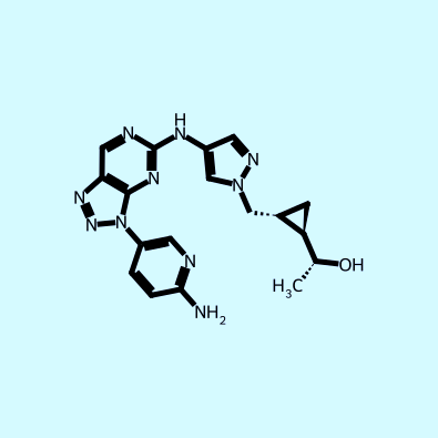 C[C@@H](O)[C@@H]1C[C@H]1Cn1cc(Nc2ncc3nnn(-c4ccc(N)nc4)c3n2)cn1